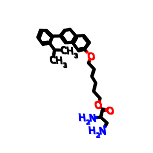 CC(C)c1ccccc1C1=Cc2cc(OCCCCCCOC(=O)C(N)CN)ccc2CC1